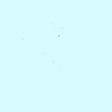 Cn1nc2c(c1-c1cccc3ccccc13)CC[C@H]1C(C)(C)C(=O)C(C#N)=C[C@]21C